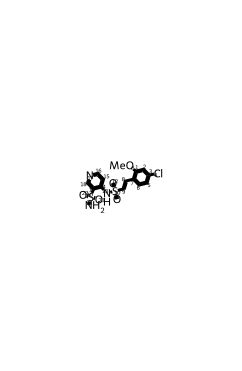 COc1cc(Cl)ccc1C=CS(=O)(=O)Nc1ccncc1S(N)(=O)=O